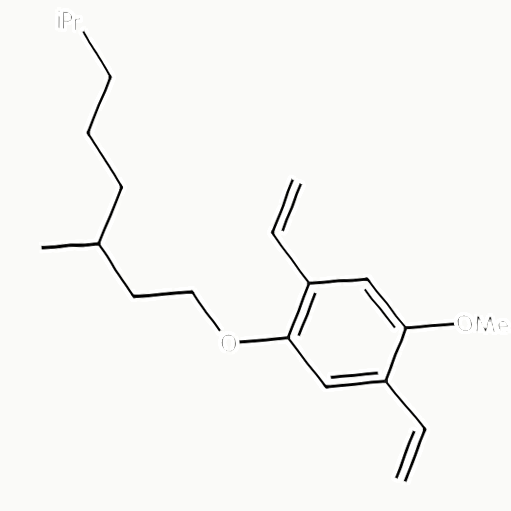 C=Cc1cc(OCCC(C)CCCC(C)C)c(C=C)cc1OC